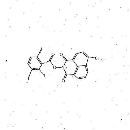 Cc1ccc2c3c(cccc13)C(=O)N(OC(=O)c1c(I)ccc(I)c1I)C2=O